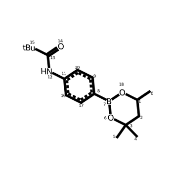 CC1CC(C)(C)OB(c2ccc(NC(=O)C(C)(C)C)cc2)O1